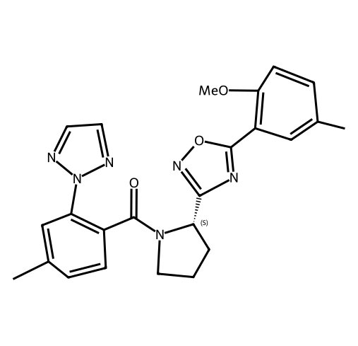 COc1ccc(C)cc1-c1nc([C@@H]2CCCN2C(=O)c2ccc(C)cc2-n2nccn2)no1